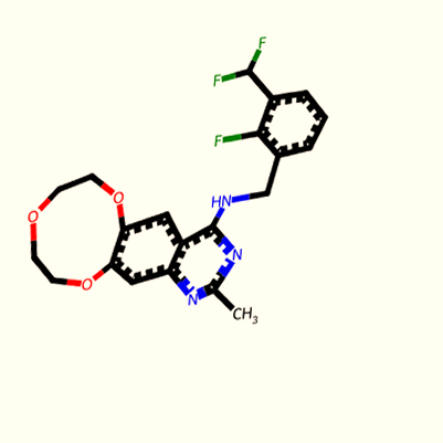 Cc1nc(NCc2cccc(C(F)F)c2F)c2cc3c(cc2n1)OCCOCCO3